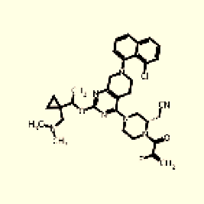 C=C(F)C(=O)N1CCN(c2nc(OC(C)C3(CN(C)C)CC3)nc3c2CCN(c2cccc4cccc(Cl)c24)C3)C[C@@H]1CC#N